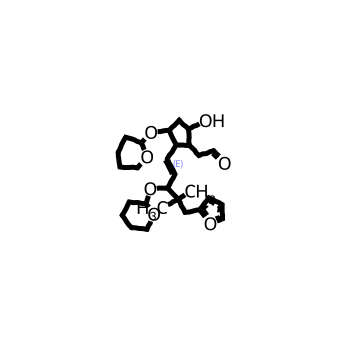 CC(C)(Cc1ccco1)C(/C=C/C1C(OC2CCCCO2)CC(O)C1CC=O)OC1CCCCO1